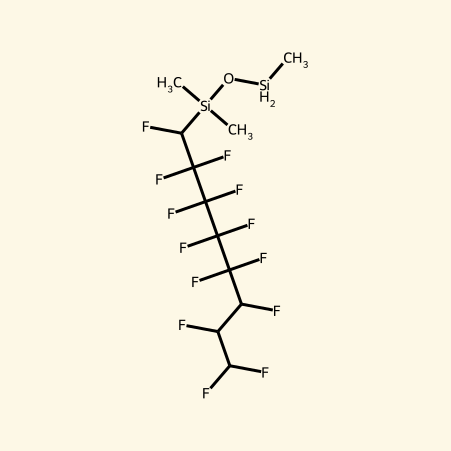 C[SiH2]O[Si](C)(C)C(F)C(F)(F)C(F)(F)C(F)(F)C(F)(F)C(F)C(F)C(F)F